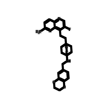 Cc1ccc2ncc(F)c(CCC34CCC(NCc5ccc6c(c5)OCCO6)(CC3)CO4)c2n1